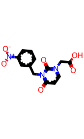 O=C(O)Cn1ccc(=O)n(Cc2cccc([N+](=O)[O-])c2)c1=O